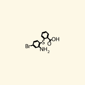 Nc1cc(Br)ccc1Sc1ccccc1C(=O)O